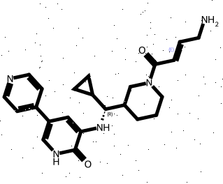 NC/C=C/C(=O)N1CCCC([C@H](Nc2cc(-c3ccncc3)c[nH]c2=O)C2CC2)C1